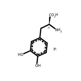 N[C@@H](Cc1ccc(O)c(O)c1)C(=O)O.[P]